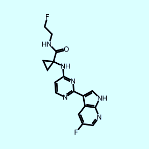 O=C(NCCF)C1(Nc2ccnc(-c3c[nH]c4ncc(F)cc34)n2)CC1